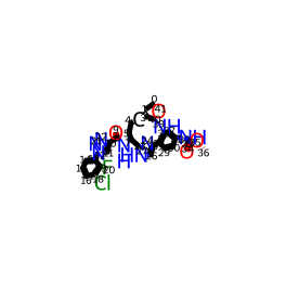 CC[C@H]1CCC[C@H](NC(=O)c2cn(-c3cccc(Cl)c3F)nn2)c2nc(c[nH]2)-c2ccc(NC(=O)OC)cc2NC1=O